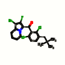 CC(C)(C)Cc1ccc(Cl)c(C(=O)c2c(F)c(Br)c3ccccn23)c1Cl